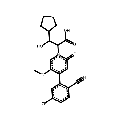 COc1cn(C(C(=O)O)C(O)C2CCOC2)c(=O)cc1-c1cc(Cl)ccc1C#N